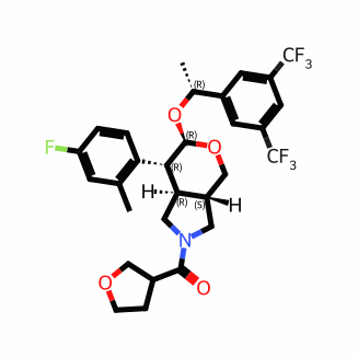 Cc1cc(F)ccc1[C@@H]1[C@@H](O[C@H](C)c2cc(C(F)(F)F)cc(C(F)(F)F)c2)OC[C@@H]2CN(C(=O)C3CCOC3)C[C@H]21